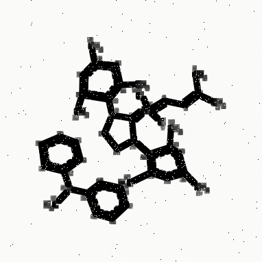 CC(C)=C[CH]=[Ru]([Cl])([Cl])=[C]1N(c2c(C)cc(C)cc2C)CCN1c1c(C)cc(C)cc1C.CP(c1ccccc1)c1ccccc1